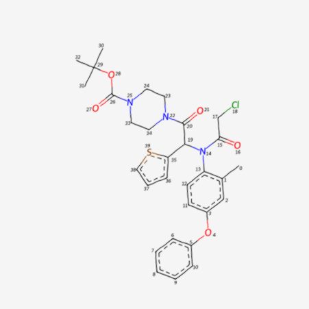 Cc1cc(Oc2ccccc2)ccc1N(C(=O)CCl)C(C(=O)N1CCN(C(=O)OC(C)(C)C)CC1)c1cccs1